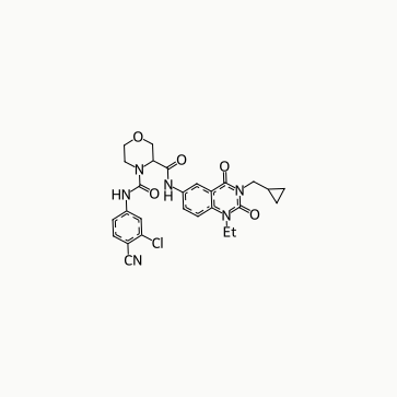 CCn1c(=O)n(CC2CC2)c(=O)c2cc(NC(=O)C3COCCN3C(=O)Nc3ccc(C#N)c(Cl)c3)ccc21